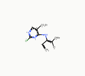 C=C/C(Nc1nc(Cl)ncc1C(=O)OCC)=C(\CC)OC